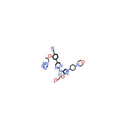 COCCOc1nn(C2CCC(N3CCOCC3)CC2)cc1Nc1ncc(-c2ccc(C#N)c(OC(C)Cn3cnnn3)c2)cn1